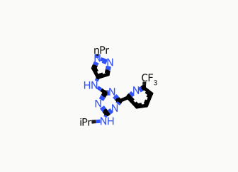 CCCn1cc(Nc2nc(NC(C)C)nc(-c3cccc(C(F)(F)F)n3)n2)cn1